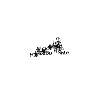 CNC(C)C(=O)NC(C(=O)N1C[C@@H](NC(=O)c2cnc(N3CCC(COc4cc5ncnc(Nc6n[nH]c(C)c6C)c5cc4S(=O)(=O)C(C)(C)C)CC3)cn2)C[C@H]1C(=O)N[C@@H]1CCCc2ccccc21)C1CCCCC1